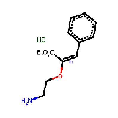 CCOC(=O)/C(=C\c1ccccc1)OCCN.Cl